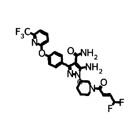 NC(=O)c1c(-c2ccc(Oc3cccc(C(F)(F)F)n3)cc2)nn([C@@H]2CCCN(C(=O)C=CC(F)F)C2)c1N